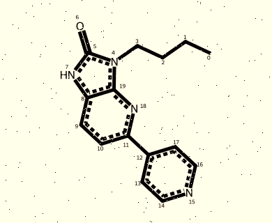 CCCCn1c(=O)[nH]c2ccc(-c3ccncc3)nc21